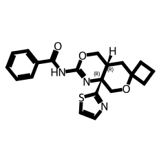 O=C(NC1=N[C@@]2(c3nccs3)COC3(CCC3)C[C@H]2CO1)c1ccccc1